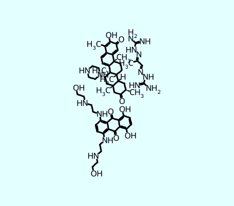 C1CNCCN1.CC(/C=N/NC(=N)N)=N\NC(=N)N.CC1=C(O)C(=O)C=C2C1=CC=C1[C@@]2(C)CC[C@]2(C)[C@@H]3C[C@@H](C)C(=O)C[C@]3(C)CC[C@@]12C.O=C1c2c(O)ccc(O)c2C(=O)c2c(NCCNCCO)ccc(NCCNCCO)c21